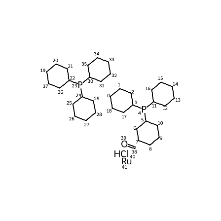 C1CCC(P(C2CCCCC2)C2CCCCC2)CC1.C1CCC(P(C2CCCCC2)C2CCCCC2)CC1.C=O.Cl.[Ru]